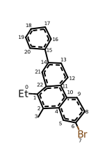 CCc1c(C)c2cc(Br)ccc2c2ccc(-c3ccccc3)cc12